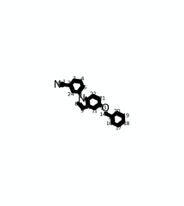 N#Cc1cccc(-n2ccc3cc(OCc4ccccc4)ccc32)c1